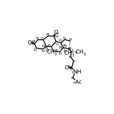 CC(=O)CNC(=O)CC[C@@H](C)[C@H]1CCC2C3C(=O)CC4CC(=O)CC[C@]4(C)C3CC[C@@]21C